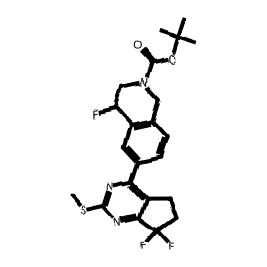 CSc1nc(-c2ccc3c(c2)C(F)CN(C(=O)OC(C)(C)C)C3)c2c(n1)C(F)(F)CC2